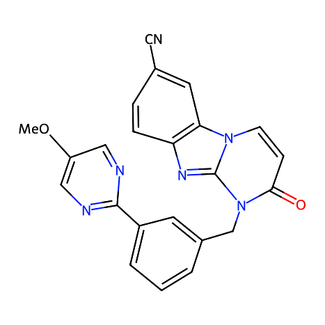 COc1cnc(-c2cccc(Cn3c(=O)ccn4c5cc(C#N)ccc5nc34)c2)nc1